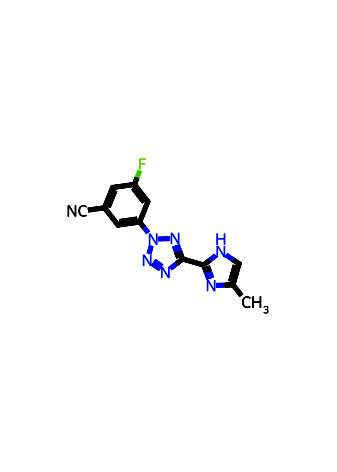 Cc1c[nH]c(-c2nnn(-c3cc(F)cc(C#N)c3)n2)n1